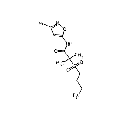 CC(C)c1cc(NC(=O)C(C)(C)S(=O)(=O)CCCC(F)(F)F)on1